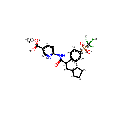 COC(=O)c1ccc(NC(=O)C(CC2CCCC2)c2ccc(S(=O)(=O)C(F)(F)F)cc2)nc1